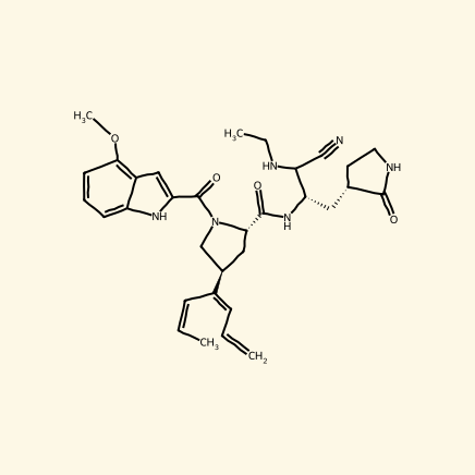 C=C/C=C(\C=C/C)[C@@H]1C[C@@H](C(=O)N[C@@H](C[C@@H]2CCNC2=O)C(C#N)NCC)N(C(=O)c2cc3c(OC)cccc3[nH]2)C1